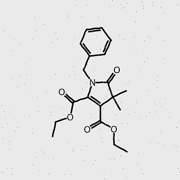 CCOC(=O)C1=C(C(=O)OCC)C(C)(C)C(=O)N1Cc1ccccc1